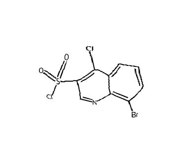 O=S(=O)(Cl)c1cnc2c(Br)cccc2c1Cl